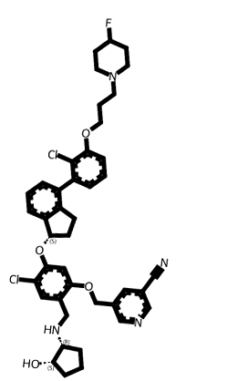 N#Cc1cncc(COc2cc(O[C@H]3CCc4c(-c5cccc(OCCCN6CCC(F)CC6)c5Cl)cccc43)c(Cl)cc2CN[C@@H]2CCC[C@@H]2O)c1